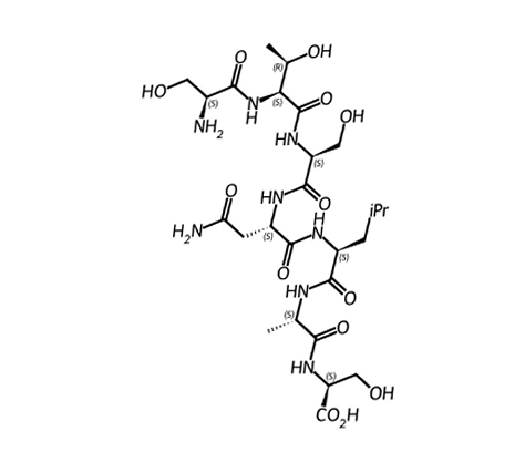 CC(C)C[C@H](NC(=O)[C@H](CC(N)=O)NC(=O)[C@H](CO)NC(=O)[C@@H](NC(=O)[C@@H](N)CO)[C@@H](C)O)C(=O)N[C@@H](C)C(=O)N[C@@H](CO)C(=O)O